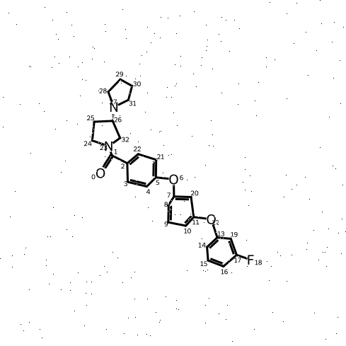 O=C(c1ccc(Oc2cccc(Oc3cccc(F)c3)c2)cc1)N1CC[C@H](N2CCCC2)C1